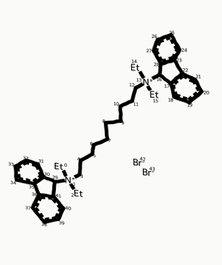 CC[N+](CC)(CCCCCCCCCC[N+](CC)(CC)C1c2ccccc2-c2ccccc21)C1c2ccccc2-c2ccccc21.[Br-].[Br-]